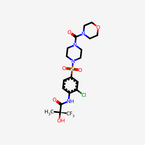 C[C@@](O)(C(=O)Nc1ccc(S(=O)(=O)N2CCN(C(=O)N3CCOCC3)CC2)cc1Cl)C(F)(F)F